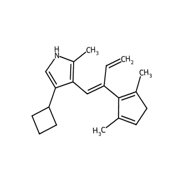 C=C/C(=C\c1c(C2CCC2)c[nH]c1C)C1=C(C)CC=C1C